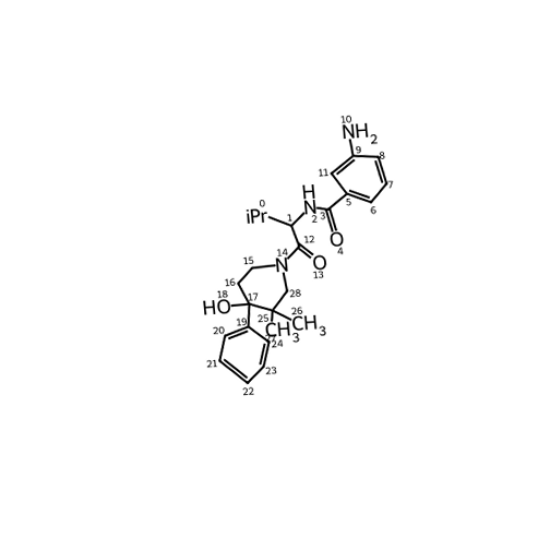 CC(C)C(NC(=O)c1cccc(N)c1)C(=O)N1CCC(O)(c2ccccc2)C(C)(C)C1